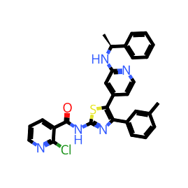 Cc1cccc(-c2nc(NC(=O)c3cccnc3Cl)sc2-c2ccnc(N[C@@H](C)c3ccccc3)c2)c1